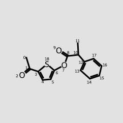 CC(=O)c1ccc(OC(=O)C(C)c2ccccc2)s1